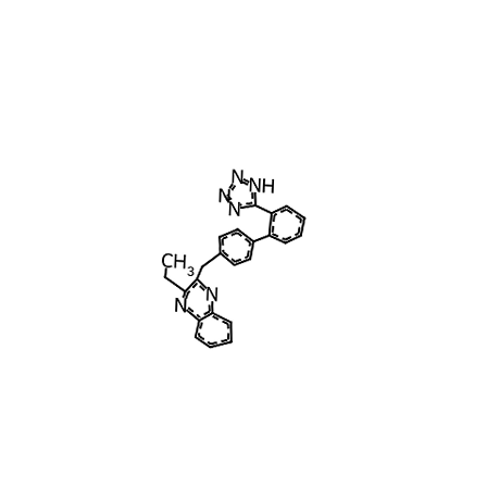 CCc1nc2ccccc2nc1Cc1ccc(-c2ccccc2-c2nnn[nH]2)cc1